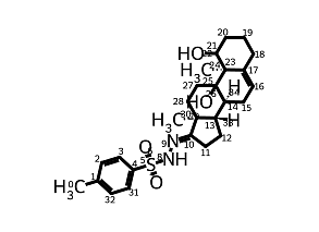 Cc1ccc(S(=O)(=O)NN=C2CC[C@H]3[C@@H]4CC=C5CCCC(O)[C@]5(C)C4(O)CC[C@]23C)cc1